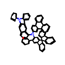 c1ccc(-c2cc3c(cc2N(c2ccc4c5ccccc5c5ccccc5c4c2)c2cccc4cc5c(cc24)c2ccccc2n5-c2ccccc2)C2(c4ccccc4-c4ccccc42)c2ccccc2-3)cc1